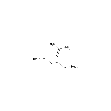 CCCCCCCCCCCC(=O)O.NC(N)=S